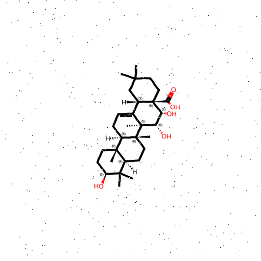 CC1(C)CC[C@]2(C(=O)O)[C@H](O)[C@H](O)[C@]3(C)C(=CC[C@@H]4[C@@]5(C)CC[C@H](O)C(C)(C)[C@@H]5CC[C@]43C)[C@@H]2C1